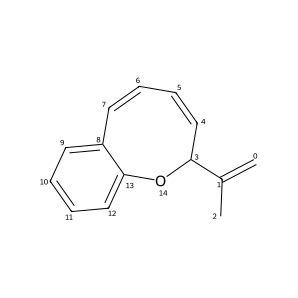 C=C(C)C1C=CC=Cc2ccccc2O1